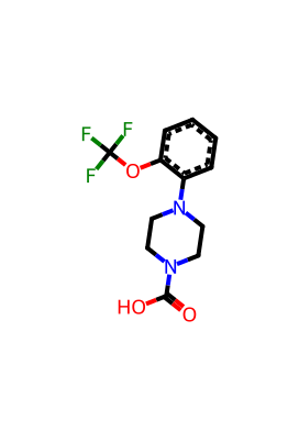 O=C(O)N1CCN(c2ccccc2OC(F)(F)F)CC1